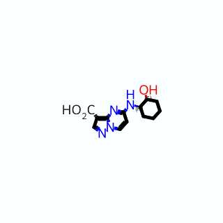 O=C(O)c1cnn2ccc(N[C@@H]3CCCC[C@@H]3O)nc12